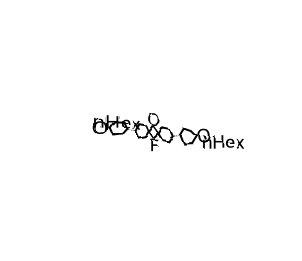 CCCCCCO[C@H]1CC[C@H](C2CCC3(CC2)C(=O)C2(CCC([C@H]4CC[C@H](OCCCCCC)CC4)CC2)C3F)CC1